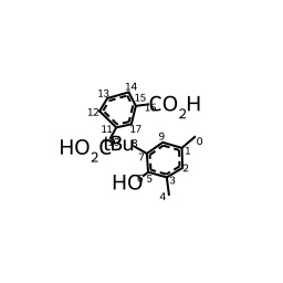 Cc1cc(C)c(O)c(C(C)(C)C)c1.O=C(O)c1cccc(C(=O)O)c1